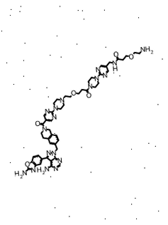 NCCOCCC(=O)NCc1cnc(N2CCN(C(=O)CCOCCN3CCN(c4ncc(C(=O)N5CCc6cc(Cn7nc(-c8ccc9oc(N)nc9c8)c8c(N)ncnc87)ccc6C5)cn4)CC3)CC2)nc1